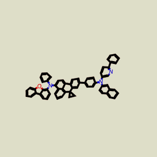 c1ccc(-c2ccc(N(c3ccc(-c4ccc5c(c4)C4(CC4)c4cccc6c(N(c7ccccc7)c7cccc8c7oc7ccccc78)ccc-5c46)cc3)c3ccc4ccccc4c3)cn2)cc1